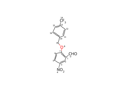 O=Cc1cc([N+](=O)[O-])ccc1OCc1ccc(C(F)(F)F)cc1